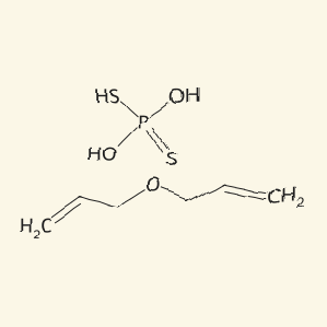 C=CCOCC=C.OP(O)(=S)S